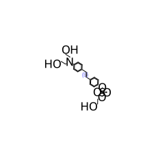 O=S(=O)(OCCO)Oc1ccc(/C=C/c2ccc(N(CCO)CCO)cc2)cc1